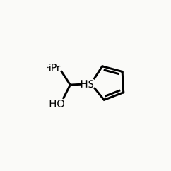 C[C](C)C(O)[SH]1C=CC=C1